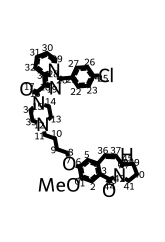 COc1cc2c(cc1OCCCCN1CCN(C(=O)c3nc(-c4ccc(Cl)cc4)n4ccccc34)CC1)C=C[C@@H]1CCCN1C2=O